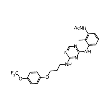 CC(=O)Nc1cccc(Nc2ncnc(NCCCOc3ccc(OC(F)(F)F)cc3)n2)c1C